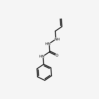 C=CCNNC(=O)Nc1ccccc1